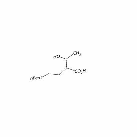 CCCCCCCC(C(=O)O)C(C)O